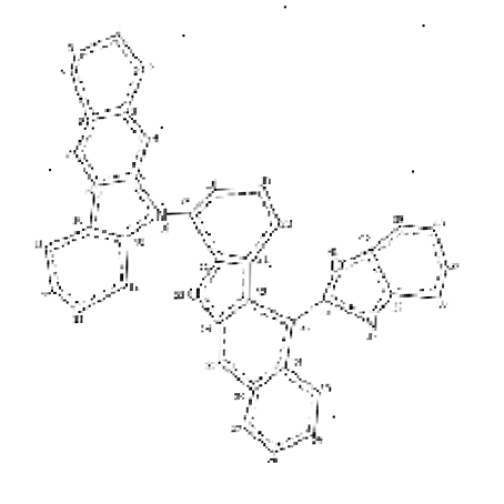 c1ccc2cc3c(cc2c1)c1ccccc1n3-c1cccc2c1oc1cc3ccccc3c(-c3nc4ccccc4o3)c12